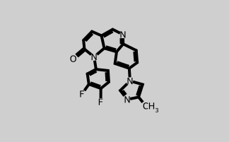 Cc1cn(-c2ccc3ncc4ccc(=O)n(-c5ccc(F)c(F)c5)c4c3c2)cn1